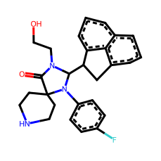 O=C1N(CCO)C(C2Cc3cccc4cccc2c34)N(c2ccc(F)cc2)C12CCNCC2